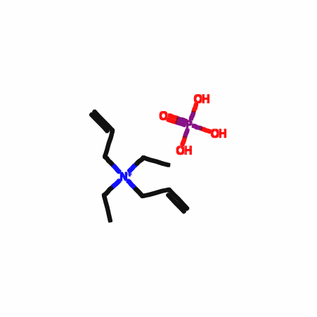 C=CC[N+](CC)(CC)CC=C.O=P(O)(O)O